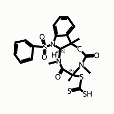 CN1C(=O)[C@@](C)(SC(=S)S)N(C)C(=O)CC2(C)c3ccccc3N(S(=O)(=O)c3ccccc3)[C@H]12